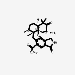 COC(=O)c1cc2c(c3c1C[C@]1(C)[C@@H](C)CC[C@H]4C(C)(C)C(=O)[C@H](N)C[C@]41O3)CNC2=O